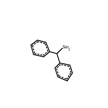 [SiH2]C(c1ccccc1)c1ccccc1